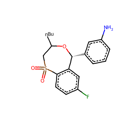 CCCCC1CS(=O)(=O)c2ccc(F)cc2[C@@H](c2cccc(N)c2)O1